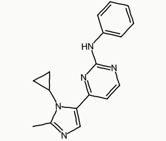 Cc1ncc(-c2ccnc(Nc3ccccc3)n2)n1C1CC1